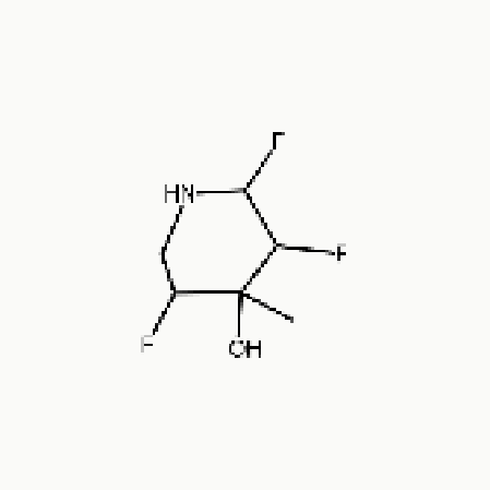 CC1(O)C(F)CNC(F)C1F